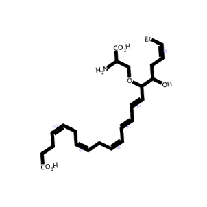 CC/C=C\CC(O)C(/C=C/C=C/C=C\C/C=C\C/C=C\CCC(=O)O)OCC(N)C(=O)O